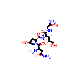 C[C@H]([C@H](O)CO)[C@@H](NC(=O)[C@H]1C[C@H](O)CN1C(=O)[C@H](N)CC(N)=O)C(=O)NCC(N)O